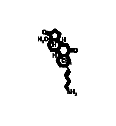 C[C@]12CC[C@@H](/C=C/CCN)CC1C(=O)C[C@@H]1[C@@H]2CC[C@]2(C)C(=O)CC[C@@H]12